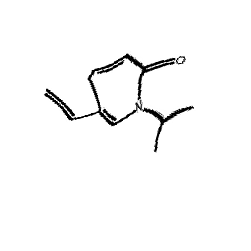 C=Cc1ccc(=O)n(C(C)C)c1